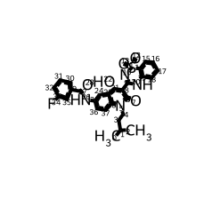 CC(C)CCn1c(=O)c(C2=NS(=O)(=O)c3ccccc3N2)c(O)c2cc(NC(=O)c3cccc(F)c3)ccc21